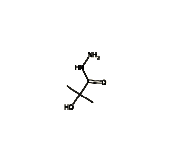 CC(C)(O)C(=O)NN